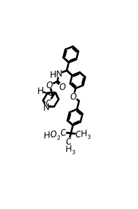 CC(C)(C(=O)O)c1ccc(COc2cccc(C(NC(=O)O[C@H]3CN4CCC3CC4)c3ccccc3)c2)cc1